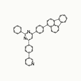 c1ccc(-c2nc(-c3ccc(-c4cccnc4)cc3)cc(-c3ccc(-c4ccc5c6c(cccc46)-c4ccccc4-5)cc3)n2)cc1